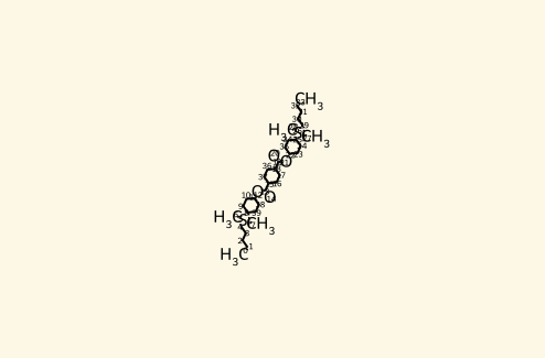 CCCCC[Si](C)(C)C1CCC(OC(=O)C2CCC(C(=O)OC3CCC([Si](C)(C)CCCCC)CC3)CC2)CC1